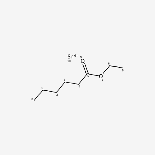 CCCCCC(=O)OCC.[Sn+4]